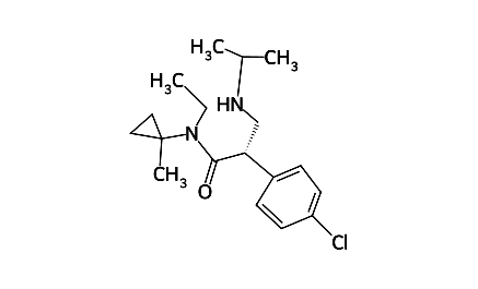 CCN(C(=O)[C@H](CNC(C)C)c1ccc(Cl)cc1)C1(C)CC1